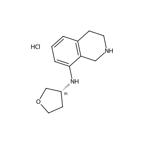 Cl.c1cc2c(c(N[C@@H]3CCOC3)c1)CNCC2